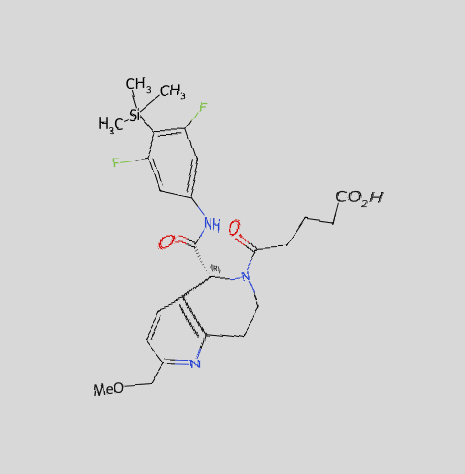 COCc1ccc2c(n1)CCN(C(=O)CCCC(=O)O)[C@H]2C(=O)Nc1cc(F)c([Si](C)(C)C)c(F)c1